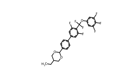 CCC1COC(c2ccc(-c3cc(F)c(C(F)(F)Oc4cc(F)c(F)c(F)c4)c(F)c3)cc2)OC1